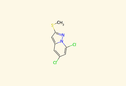 CSc1cc2cc(Cl)cc(Cl)n2n1